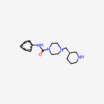 O=C(Nc1ccccc1)N1CCN(C[C@@H]2CCCNC2)CC1